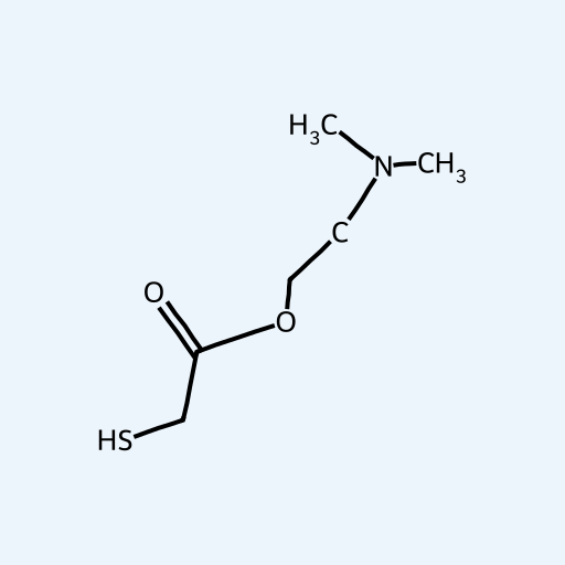 CN(C)CCOC(=O)CS